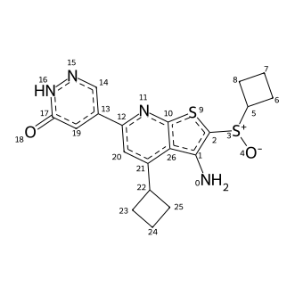 Nc1c([S+]([O-])C2CCC2)sc2nc(-c3cn[nH]c(=O)c3)cc(C3CCC3)c12